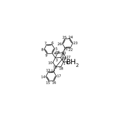 BC12CC3(c4ccccc4)CC(c4ccccc4)(C1)CC(c1ccccc1)(C2)C3